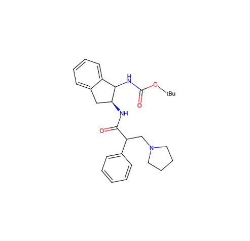 CC(C)(C)OC(=O)NC1c2ccccc2C[C@@H]1NC(=O)C(CN1CCCC1)c1ccccc1